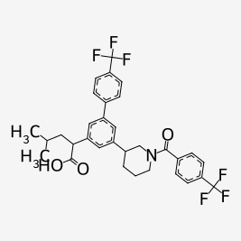 CC(C)CC(C(=O)O)c1cc(-c2ccc(C(F)(F)F)cc2)cc(C2CCCN(C(=O)c3ccc(C(F)(F)F)cc3)C2)c1